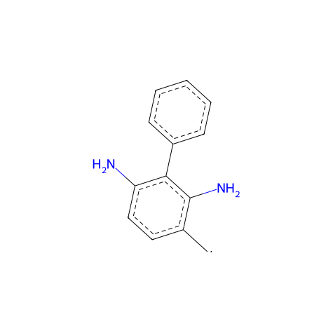 [CH2]c1ccc(N)c(-c2ccccc2)c1N